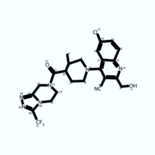 CC1CN(c2c(C#N)c(CO)nc3ccc(Cl)cc23)CCC1C(=O)N1CCn2c(nnc2C(F)(F)F)C1